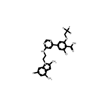 Cc1cc(F)cc2c1cc(C)n2CCNc1cc(-c2cc(Cl)c(C(=O)O)c(OCC(F)(F)F)c2)ncn1